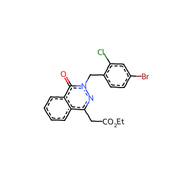 CCOC(=O)Cc1nn(Cc2ccc(Br)cc2Cl)c(=O)c2ccccc12